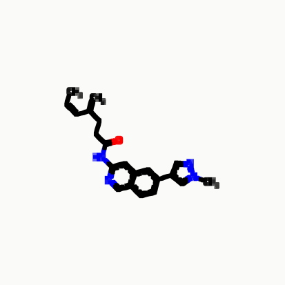 C=C(/C=C\C)CCC(=O)Nc1cc2cc(-c3cnn(C)c3)ccc2cn1